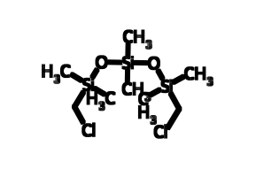 C[Si](C)(CCl)O[Si](C)(C)O[Si](C)(C)CCl